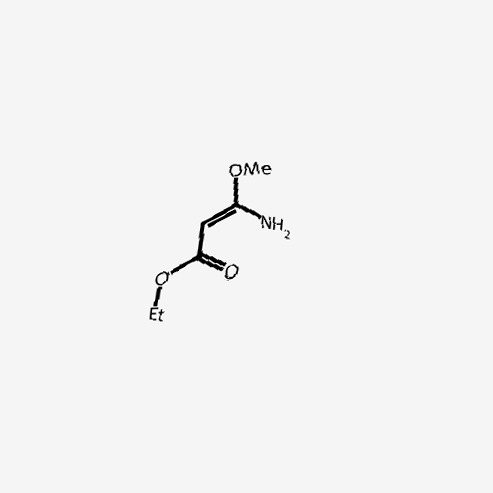 CCOC(=O)C=C(N)OC